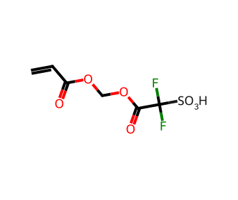 C=CC(=O)OCOC(=O)C(F)(F)S(=O)(=O)O